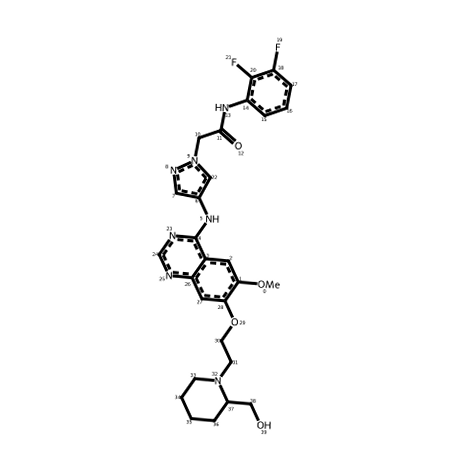 COc1cc2c(Nc3cnn(CC(=O)Nc4cccc(F)c4F)c3)ncnc2cc1OCCN1CCCCC1CO